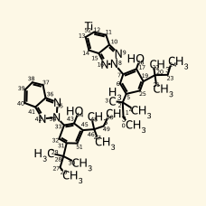 CCC(C)(C)c1cc(-n2nc3ccccc3n2)c(O)c(C(C)(C)CC)c1.CCC(C)(C)c1cc(-n2nc3ccccc3n2)c(O)c(C(C)(C)CC)c1.[Ti]